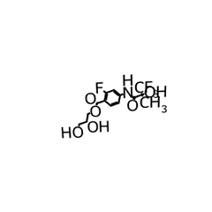 CC(O)(C(=O)Nc1ccc(C(=O)OCC(O)CO)c(F)c1)C(F)(F)F